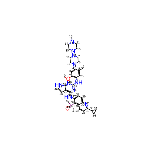 COc1cc(N2CCN(N3CCN(C)CC3)CC2)c(C)cc1Nc1nc(Nc2ccc3nc(C4CC4)ccc3c2P(C)(C)=O)c2cc[nH]c2n1